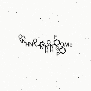 COc1cccc(F)c1Oc1ccc(F)cc1NC(=O)Nc1nc(CC(=O)NCCN2CCOCC2)cs1